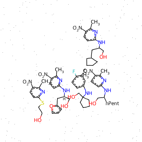 CCCCCC(CO)Nc1ccc([N+](=O)[O-])c(C)n1.Cc1cc(NC2(CO)CCCC2)ccc1F.Cc1nc(NC(CO)CC2CCCC2)ccc1[N+](=O)[O-].Cc1nc(N[C@@H](CO)Cc2ccco2)ccc1[N+](=O)[O-].Cc1nc(SCCO)ccc1[N+](=O)[O-]